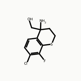 NC1(CO)CCSc2c1ccc(Cl)c2F